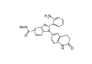 CNC(=O)c1ccc2c(c1)nc(-c1ccccc1N)n2-c1ccc2c(c1)CCC(=O)N2